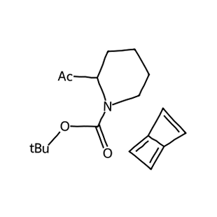 CC(=O)C1CCCCN1C(=O)OC(C)(C)C.c1cc2ccc1-2